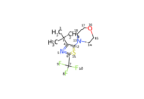 CC(C)(C)c1nc(C(F)(F)F)sc1N1CCOCC1